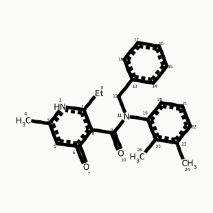 CCc1[nH]c(C)cc(=O)c1C(=O)N(Cc1ccccc1)c1cccc(C)c1C